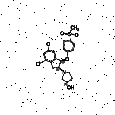 CS(=O)(=O)c1ccc(O[C@@H]2c3cc(Cl)cc(Cl)c3C[C@@H]2N2CC[C@H](O)C2)cc1